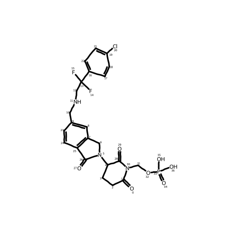 O=C1CCC(N2Cc3cc(CNCC(F)(F)c4ccc(Cl)cc4)ccc3C2=O)C(=O)N1COP(=O)(O)O